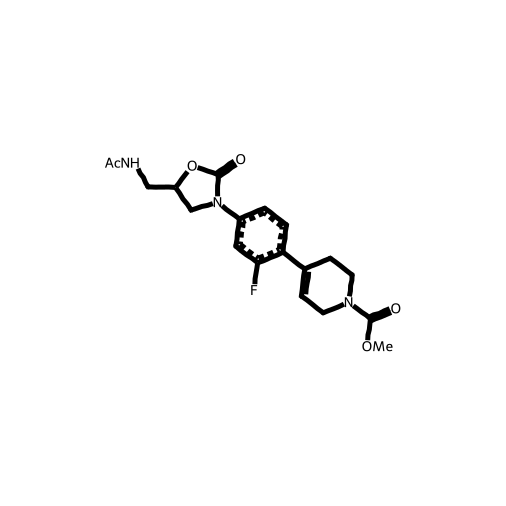 COC(=O)N1CC=C(c2ccc(N3CC(CNC(C)=O)OC3=O)cc2F)CC1